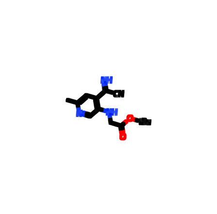 Cc1cc(C(=N)C#N)c(NCC(=O)OC(C)(C)C)cn1